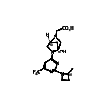 C[C@H]1CCN1c1nc(N2C[C@@H]3C[C@H]2CN3CC(=O)O)cc(C(F)(F)F)n1